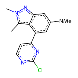 CNc1cc(-c2ccnc(Cl)n2)c2c(C)n(C)nc2c1